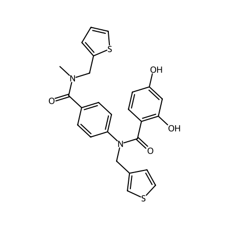 CN(Cc1cccs1)C(=O)c1ccc(N(Cc2ccsc2)C(=O)c2ccc(O)cc2O)cc1